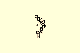 CC(c1ccc(Cl)cc1Cl)n1cnc2cc(F)c(C3=CCN(C(=O)C4CCCCN4)CC3)cc21